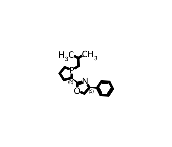 CC(C)CP1CCC[C@@H]1C1=N[C@@H](c2ccccc2)CO1